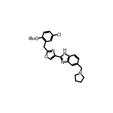 CC(C)COc1ccc(Cl)cc1Cc1nc(-c2nc3cc(CN4CCCC4)ccc3[nH]2)co1